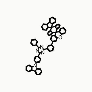 c1ccc(-c2nc(-c3ccc(-n4c5ccccc5c5ccccc54)cc3)nc(-c3cccc(-c4ccc5c(c4)Oc4ccccc4C54c5ccccc5C5(c6ccccc6-c6ccccc65)c5ccccc54)c3)n2)cc1